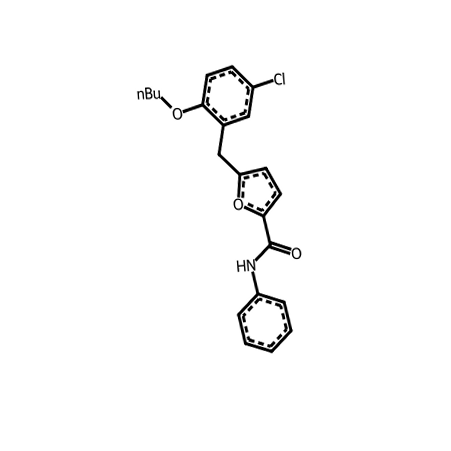 CCCCOc1ccc(Cl)cc1Cc1ccc(C(=O)Nc2ccccc2)o1